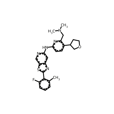 Cc1cccc(F)c1-c1nc2cc(Nc3ccc(C4CCOC4)c(CN(C)C)n3)ncc2s1